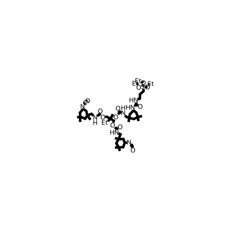 CCO[Si](CCCNC(=O)NC1CC(C)(C)CC(C)(CNC(=O)OCC(CC)(COC(=O)NCC2(C)CC(N=C=O)CC(C)(C)C2)COC(=O)NCC2(C)CC(N=C=O)CC(C)(C)C2)C1)(OCC)OCC